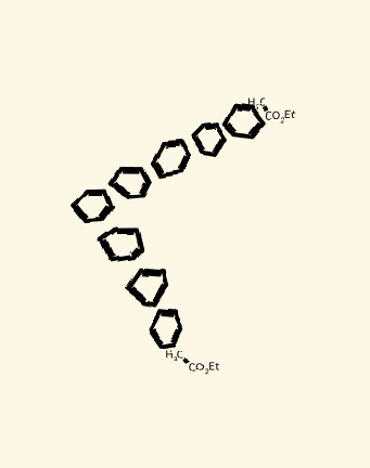 CCOC(C)=O.CCOC(C)=O.c1ccccc1.c1ccccc1.c1ccccc1.c1ccccc1.c1ccccc1.c1ccccc1.c1ccccc1.c1ccccc1